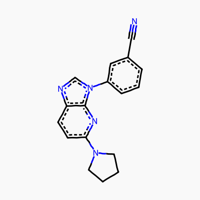 N#Cc1cccc(-n2cnc3ccc(N4CCCC4)nc32)c1